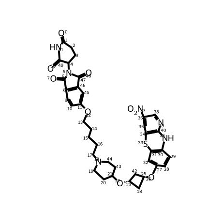 O=C1CCC(N2C(=O)c3ccc(OCCCCCN4CCC(O[C@H]5C[C@H](Oc6ccc7c(c6)Sc6cc([N+](=O)[O-])cnc6N7)C5)CC4)cc3C2=O)C(=O)N1